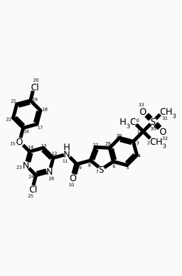 CC(C)(c1ccc2sc(C(=O)Nc3cc(Oc4ccc(Cl)cc4)nc(Cl)n3)cc2c1)S(C)(=O)=O